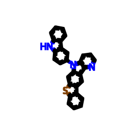 c1ccc2c(c1)[nH]c1ccc(-n3c4cc5sc6ccccc6c5cc4c4ncccc43)cc12